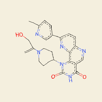 C=C(CO)N1CCC(n2c(=O)[nH]c(=O)c3cnc4ccc(-c5ccc(C)nc5)nc4c32)CC1